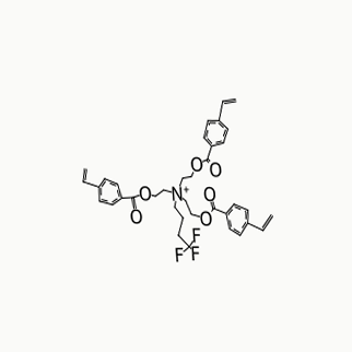 C=Cc1ccc(C(=O)OCC[N+](CCCC(F)(F)F)(CCOC(=O)c2ccc(C=C)cc2)CCOC(=O)c2ccc(C=C)cc2)cc1